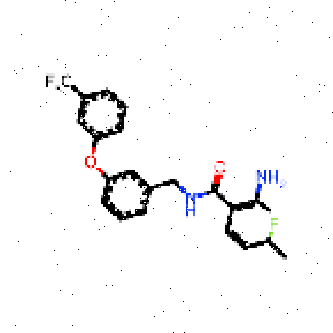 C/C(N)=C(\C=C/C(C)F)C(=O)NCc1cccc(Oc2cccc(C(F)(F)F)c2)c1